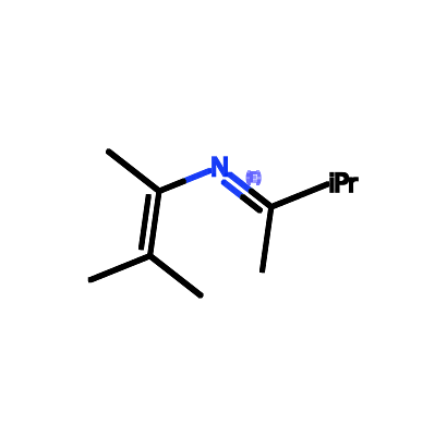 CC(C)=C(C)/N=C(\C)C(C)C